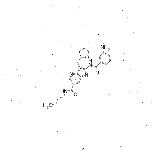 CCCCNC(=O)c1cnc2c(c1)nc(NC(=O)c1cccc(N)c1)n2CC1CCCO1